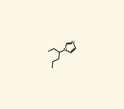 CCCC(CC)n1ccnc1